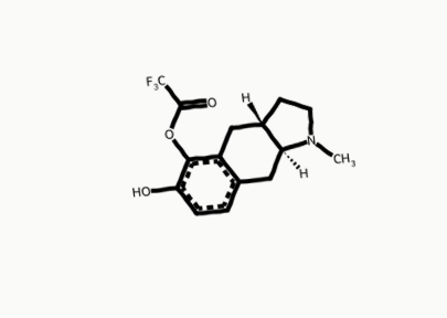 CN1CC[C@H]2Cc3c(ccc(O)c3OC(=O)C(F)(F)F)C[C@@H]21